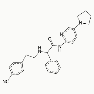 N#Cc1ccc(CCNC(C(=O)Nc2ccc(N3CCCC3)cn2)c2ccccc2)cc1